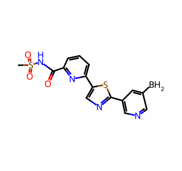 Bc1cncc(-c2ncc(-c3cccc(C(=O)NS(C)(=O)=O)n3)s2)c1